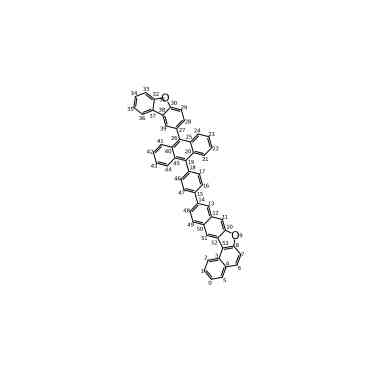 c1ccc2c(c1)ccc1oc3cc4cc(-c5ccc(-c6c7ccccc7c(-c7ccc8oc9ccccc9c8c7)c7ccccc67)cc5)ccc4cc3c12